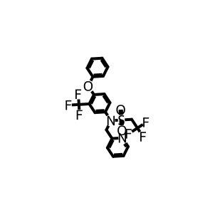 O=S(=O)(CC(F)(F)F)N(Cc1ccccn1)c1ccc(Oc2ccccc2)c(C(F)(F)F)c1